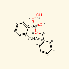 CC(=O)Nc1ccccc1[As](=O)(OO)OCc1ccccc1